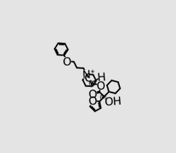 O=C(O[C@H]1C[N+]2(CCCOc3ccccc3)CCC1CC2)[C@](O)(c1ccco1)C1CCCCC1